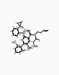 C=CCCN(/C(=N/C)c1cc(Cl)c(-c2c(O)cccc2F)nc1N(C=O)c1ccccc1C1(C)CC1)C(C)CNC=O